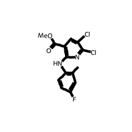 COC(=O)c1cc(Cl)c(Cl)nc1Nc1ccc(F)cc1C